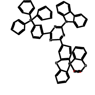 c1ccc([Si](c2ccccc2)(c2ccccc2)c2cccc(-c3nc(-c4ccc5c(c4)Oc4ccccc4[Si]54c5ccccc5Oc5ccccc54)nc(-n4c5ccccc5c5ccccc54)n3)c2)cc1